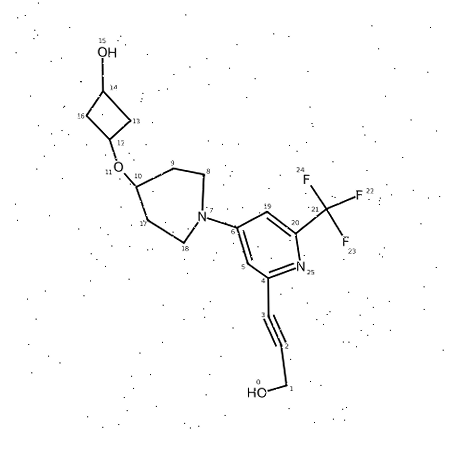 OCC#Cc1cc(N2CCC(OC3CC(O)C3)CC2)cc(C(F)(F)F)n1